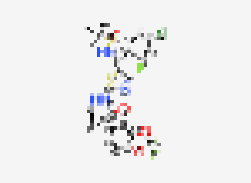 CC(C)(C)[S@@+]([O-])N[C@H](c1cnc(NC(=O)C2(c3ccc4c(c3)OC(F)(F)O4)CC2)s1)c1ccc(Cl)cc1F